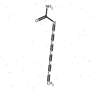 C=C=C=C=C=C=NC(N)=O